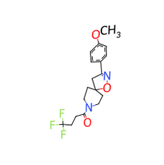 COc1ccc(C2=NOC3(CCN(C(=O)CCC(F)(F)F)CC3)C2)cc1